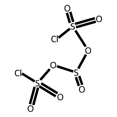 O=S(OS(=O)(=O)Cl)OS(=O)(=O)Cl